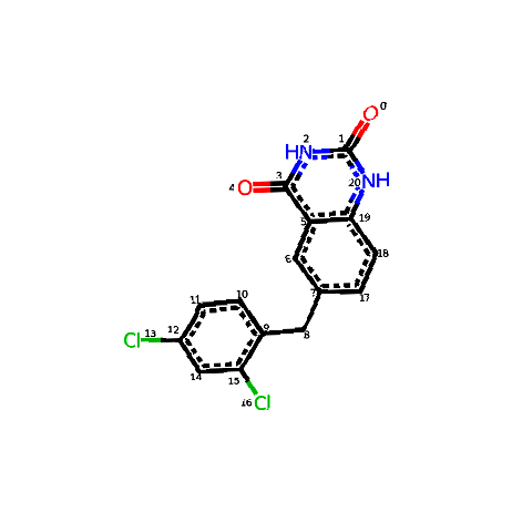 O=c1[nH]c(=O)c2cc(Cc3ccc(Cl)cc3Cl)ccc2[nH]1